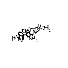 C=CC(=O)N1CCN2C(=O)c3c(N)cc(-c4c(C)ccc5[nH]ncc45)c(Cl)c3OCC2C1